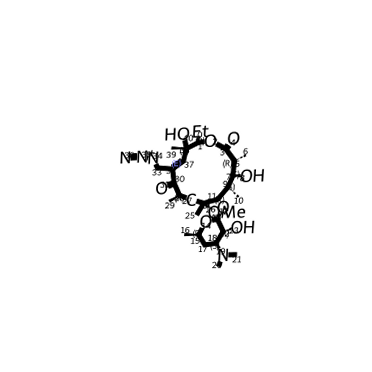 CC[C@H]1OC(=O)[C@H](C)[C@@H](O)[C@H](C)[C@@H](O[C@@H]2O[C@H](C)C[C@H](N(C)C)[C@H]2O)[C@@](C)(OC)C[C@@H](C)C(=O)/C(CN=[N+]=[N-])=C/[C@]1(C)O